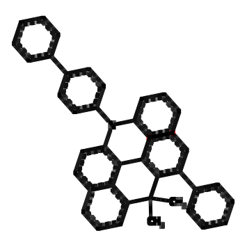 CC1(C)c2c(-c3ccccc3)cccc2-c2c(N(c3ccccc3)c3ccc(-c4ccccc4)cc3)ccc3cccc1c23